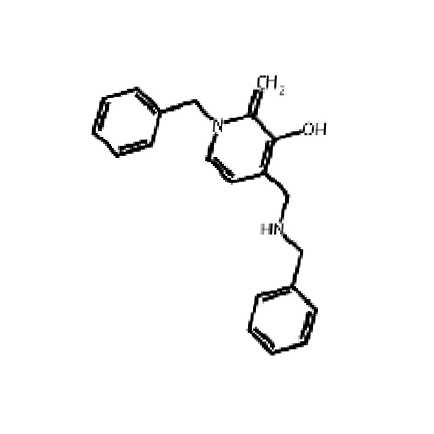 C=C1C(O)=C(CNCc2ccccc2)C=CN1Cc1ccccc1